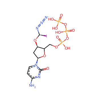 [N-]=[N+]=N[C@@H](I)O[C@@H]1C[C@H](n2ccc(N)nc2=O)OC1COP(=O)(O)OP(=O)(O)OP(=O)(O)O